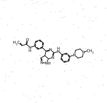 C=CC(=O)Nc1cccc(C2=NC(Nc3cccc(N4CCN(C)CC4)c3)=NC3NN=CC23)c1